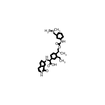 BN(C)Cc1cccc(NC(=O)OC[C@H](C)c2ccc(C(Nc3ccc4cc[nH]c(=O)c4c3)C(=O)O)cc2CC)c1